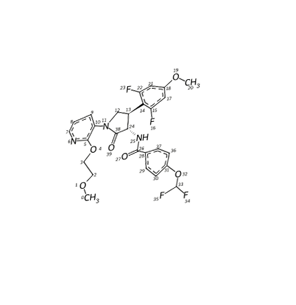 COCCOc1ncccc1N1C[C@@H](c2c(F)cc(OC)cc2F)[C@H](NC(=O)c2ccc(OC(F)F)cc2)C1=O